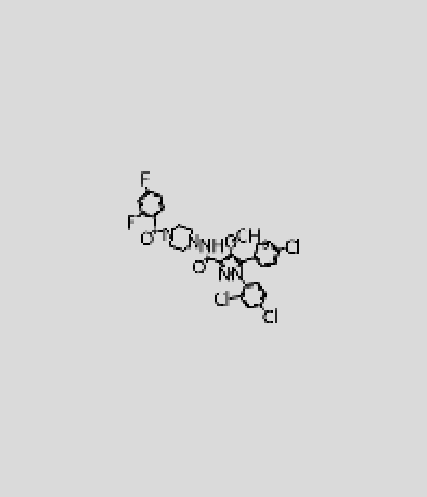 COc1c(C(=O)NN2CCN(C(=O)c3ccc(F)cc3F)CC2)nn(-c2ccc(Cl)cc2Cl)c1-c1ccc(Cl)cc1